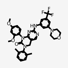 COc1ccc(N2C(=O)N(c3c(C)cccc3C)Cc3cnc(Nc4cc(N5CCOCC5)cc(C(F)(F)F)c4)nc32)c(OC)c1